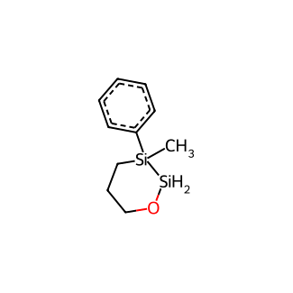 C[Si]1(c2ccccc2)CCCO[SiH2]1